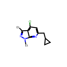 CCc1nn(CC)c2nc(CC3CC3)cc(Cl)c12